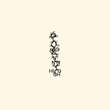 O=C(NO)c1cnc(N2CCN(S(=O)(=O)c3ccc(-c4ccsc4)cc3)CC2)nc1